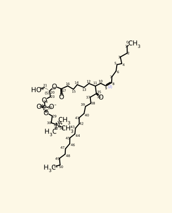 CCCCCCCC/C=C\CC(CCCCCC(=O)O[C@@H](CO)COP(=O)([O-])OCC[N+](C)(C)C)C(=O)CCCCCCCCCCCCCCC